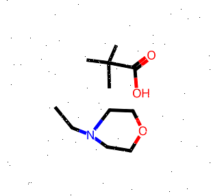 CC(C)(C)C(=O)O.CCN1CCOCC1